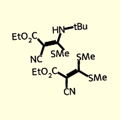 CCOC(=O)C(C#N)=C(NC(C)(C)C)SC.CCOC(=O)C(C#N)=C(SC)SC